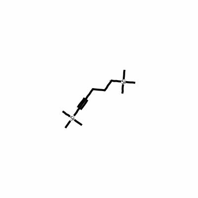 C[Si](C)(C)C#CCC[CH][Si](C)(C)C